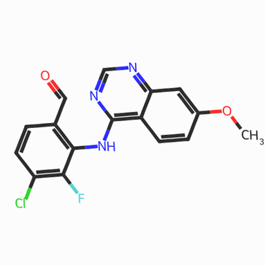 COc1ccc2c(Nc3c(C=O)ccc(Cl)c3F)ncnc2c1